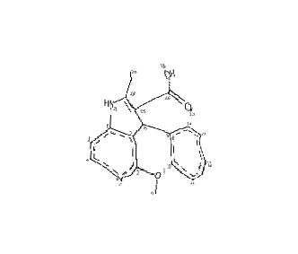 COc1nccc2c1C(c1ccccc1)C(C(=O)O)=C(C)N2